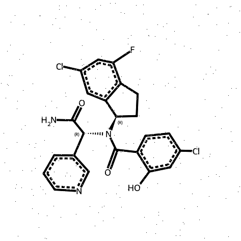 NC(=O)[C@@H](c1cccnc1)N(C(=O)c1ccc(Cl)cc1O)[C@@H]1CCc2c(F)cc(Cl)cc21